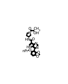 CCCOc1ccc2c(c1-c1ncnc3c(C(=O)N[C@@H]4CCN(C(=O)[C@H](C)O)C4)c[nH]c13)OCO2